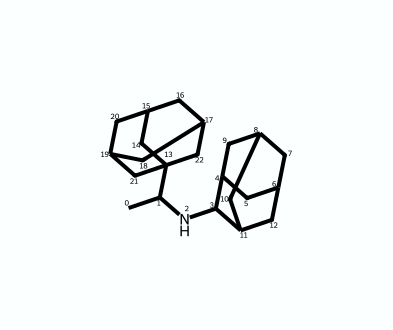 CC(NC1C2CC3CC(C2)CC1C3)C12CC3CC(CC(C3)C1)C2